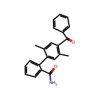 Cc1cc(-c2ccccc2C(N)=O)c(C)cc1C(=O)c1ccccc1